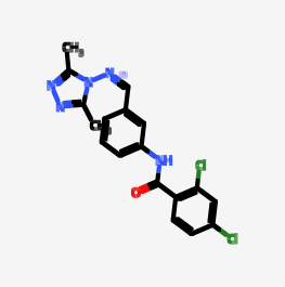 Cc1nnc(C)n1/N=C\c1cccc(NC(=O)c2ccc(Cl)cc2Cl)c1